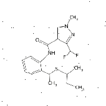 CCC(C)SC(C)c1ccccc1NC(=O)c1cn(C)nc1C(F)F